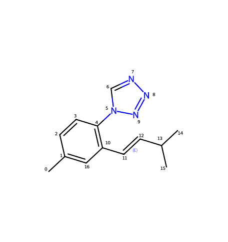 Cc1ccc(-n2cnnn2)c(/C=C/C(C)C)c1